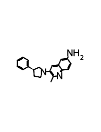 Cc1nc2ccc(N)cc2cc1N1CC[C@@H](c2ccccc2)C1